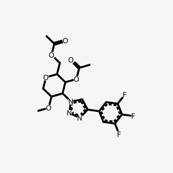 COC1COC(COC(C)=O)C(OC(C)=O)C1n1cc(-c2cc(F)c(F)c(F)c2)nn1